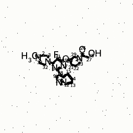 CN1CCN(c2nc(-c3cnn4ccccc34)nc(O[C@@H]3CCCN(C(=O)CO)C3)c2F)CC1